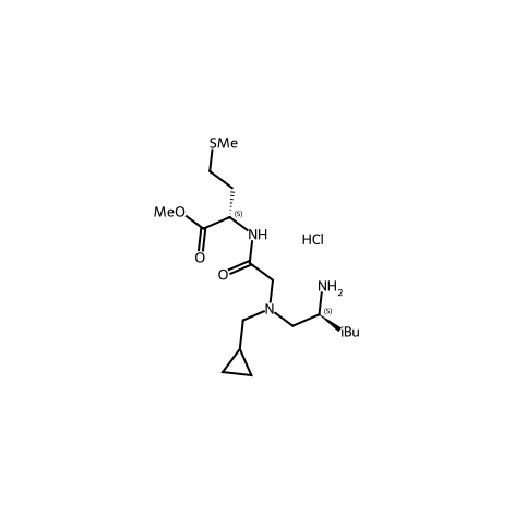 CCC(C)[C@H](N)CN(CC(=O)N[C@@H](CCSC)C(=O)OC)CC1CC1.Cl